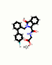 COC(=O)CNC(=O)C1c2ccccc2C(=O)N1Cc1ccccc1-c1ccc(F)cc1